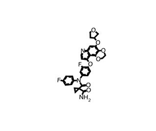 NC(=O)C1(C(=O)N(c2ccc(F)cc2)c2ccc(Oc3ccnc4cc(OC5CCOC5)c5c(c34)OCCO5)c(F)c2)CC1